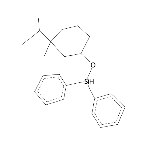 CC(C)C1(C)CCCC(O[SiH](c2ccccc2)c2ccccc2)C1